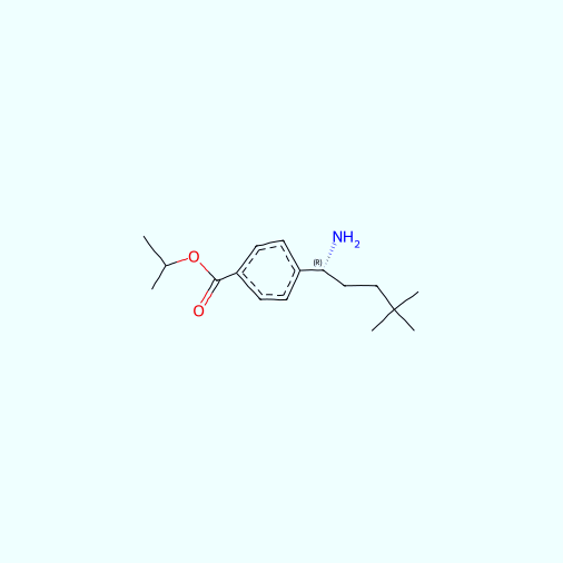 CC(C)OC(=O)c1ccc([C@H](N)CCC(C)(C)C)cc1